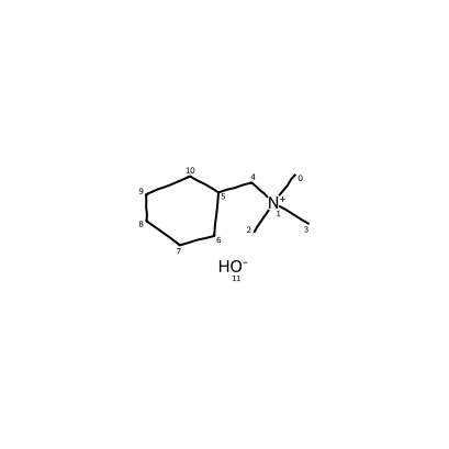 C[N+](C)(C)CC1CCCCC1.[OH-]